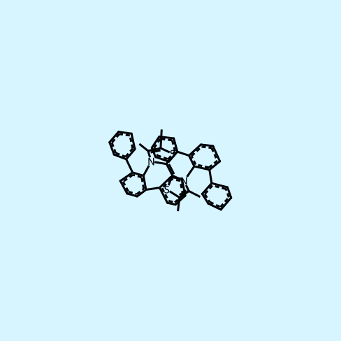 CC1=C(C)N(c2c(-c3ccccc3)cccc2-c2ccccc2)/C(=C2\SC(C)=C(C)N2c2c(-c3ccccc3)cccc2-c2ccccc2)S1